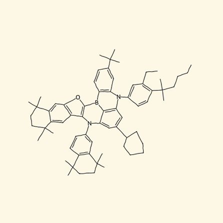 CCCCC(C)(C)c1ccc(N2c3cc(C(C)(C)C)ccc3B3c4oc5cc6c(cc5c4N(c4ccc5c(c4)C(C)(C)CCC5(C)C)c4cc(C5CCCCC5)cc2c43)C(C)(C)CCC6(C)C)cc1CC